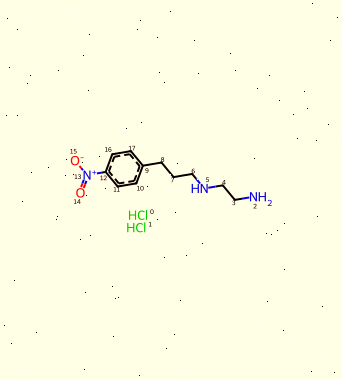 Cl.Cl.NCCNCCCc1ccc([N+](=O)[O-])cc1